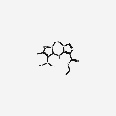 CCOC(=O)c1ncn(O)c1NC1C(N(O)O)=C(C)NN1C